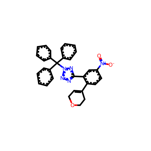 O=[N+]([O-])c1ccc(C2=CCOCC2)c(-c2nnn(C(c3ccccc3)(c3ccccc3)c3ccccc3)n2)c1